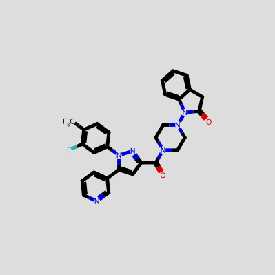 O=C(c1cc(-c2cccnc2)n(-c2ccc(C(F)(F)F)c(F)c2)n1)N1CCN(N2C(=O)Cc3ccccc32)CC1